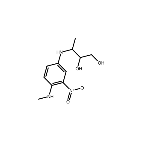 CNc1ccc(NC(C)C(O)CO)cc1[N+](=O)[O-]